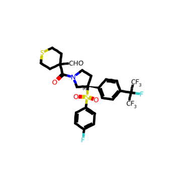 O=CC1(C(=O)N2CC[C@](c3ccc(C(F)(C(F)(F)F)C(F)(F)F)cc3)(S(=O)(=O)c3ccc(F)cc3)C2)CCSCC1